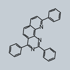 c1ccc(-c2ccc3ccc4c(-c5ccccc5)nc(-c5ccccc5)nc4c3n2)cc1